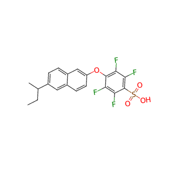 CCC(C)c1ccc2cc(Oc3c(F)c(F)c(S(=O)(=O)O)c(F)c3F)ccc2c1